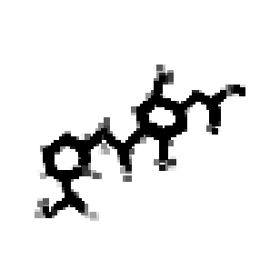 O=C(O)Cc1cc(O)c(C(=O)Nc2cccc(C(=O)O)n2)cc1O